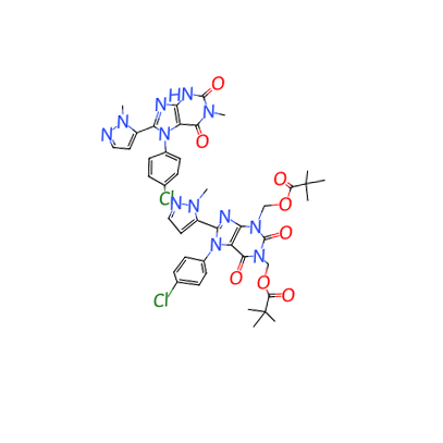 Cn1nccc1-c1nc2[nH]c(=O)n(C)c(=O)c2n1-c1ccc(Cl)cc1.Cn1nccc1-c1nc2c(c(=O)n(COC(=O)C(C)(C)C)c(=O)n2COC(=O)C(C)(C)C)n1-c1ccc(Cl)cc1